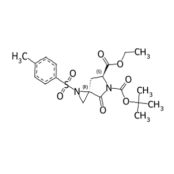 CCOC(=O)[C@@H]1C[C@@]2(CN2S(=O)(=O)c2ccc(C)cc2)C(=O)N1C(=O)OC(C)(C)C